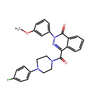 COc1cccc(-n2nc(C(=O)N3CCN(c4ccc(F)cc4)CC3)c3ccccc3c2=O)c1